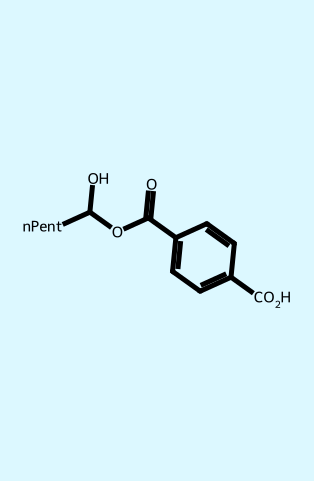 CCCCCC(O)OC(=O)c1ccc(C(=O)O)cc1